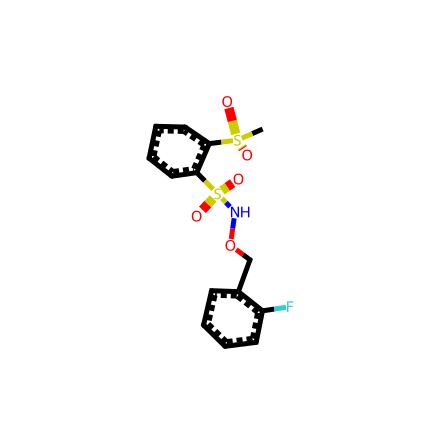 CS(=O)(=O)c1ccccc1S(=O)(=O)NOCc1ccccc1F